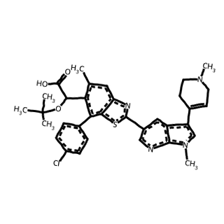 Cc1cc2nc(-c3cnc4c(c3)c(C3=CCN(C)CC3)cn4C)sc2c(-c2ccc(Cl)cc2)c1C(OC(C)(C)C)C(=O)O